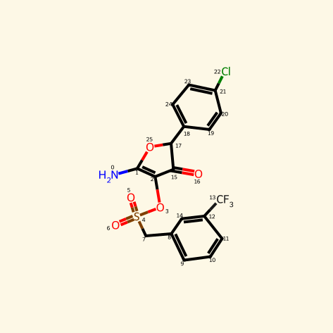 NC1=C(OS(=O)(=O)Cc2cccc(C(F)(F)F)c2)C(=O)C(c2ccc(Cl)cc2)O1